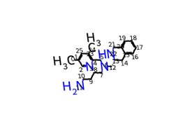 Cc1cnc(CN(CCCCN)C[C@H]2Cc3ccccc3CN2)c(C)c1